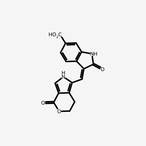 O=C1Nc2cc(C(=O)O)ccc2C1=Cc1[nH]cc2c1CCOC2=O